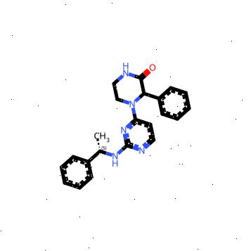 C[C@H](Nc1nccc(N2CCNC(=O)C2c2ccccc2)n1)c1ccccc1